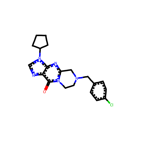 O=c1c2ncn(C3CCCC3)c2nc2n1CCN(Cc1ccc(Cl)cc1)C2